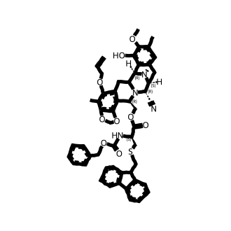 C=CCOc1c(C)c2c(c3c1CC1[C@H]4c5c(cc(C)c(OC)c5O)C[C@@H]([C@H](C#N)N1[C@H]3COC(=O)[C@@H](CSCC1c3ccccc3-c3ccccc31)NC(=O)OCc1ccccc1)N4C)OCO2